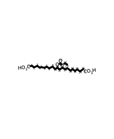 O=C(O)CCCCCCCCCCC(CCCCCCCCCCC(=O)O)OC(=O)OCI